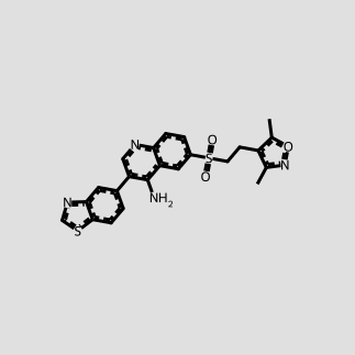 Cc1noc(C)c1CCS(=O)(=O)c1ccc2ncc(-c3ccc4scnc4c3)c(N)c2c1